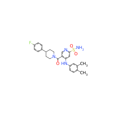 Cc1ccc(Nc2cc(S(N)(=O)=O)ncc2C(=O)N2CCC(c3ccc(F)cc3)CC2)cc1C